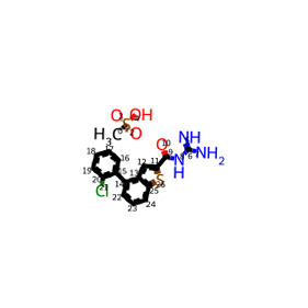 CS(=O)(=O)O.N=C(N)NC(=O)c1cc2c(-c3ccccc3Cl)cccc2s1